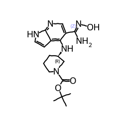 CC(C)(C)OC(=O)N1CCC[C@@H](Nc2c(/C(N)=N/O)cnc3[nH]ccc23)C1